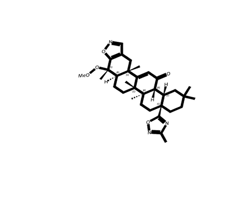 COO[C@]1(C)c2oncc2C[C@]2(C)C3=CC(=O)[C@@H]4[C@@H]5CC(C)(C)CC[C@]5(c5nc(C)no5)CC[C@@]4(C)[C@]3(C)CC[C@H]21